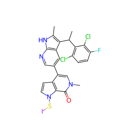 Cc1[nH]c2ncc(-c3cn(C)c(=O)c4c3ccn4SI)cc2c1C(C)c1c(Cl)ccc(F)c1Cl